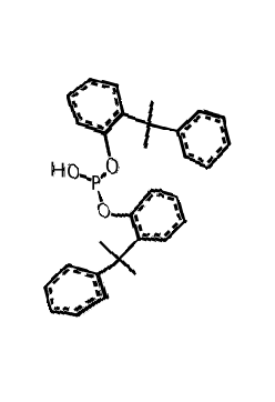 CC(C)(c1ccccc1)c1ccccc1OP(O)Oc1ccccc1C(C)(C)c1ccccc1